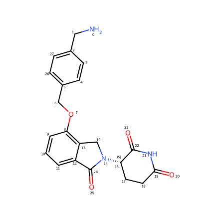 NCc1ccc(COc2cccc3c2CN([C@H]2CCC(=O)NC2=O)C3=O)cc1